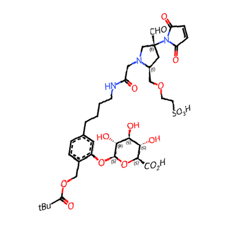 CC(C)(C)C(=O)OCc1ccc(CCCCNC(=O)CN2C[C@](C=O)(N3C(=O)C=CC3=O)C[C@H]2COCCS(=O)(=O)O)cc1O[C@@H]1O[C@H](C(=O)O)[C@@H](O)[C@H](O)[C@H]1O